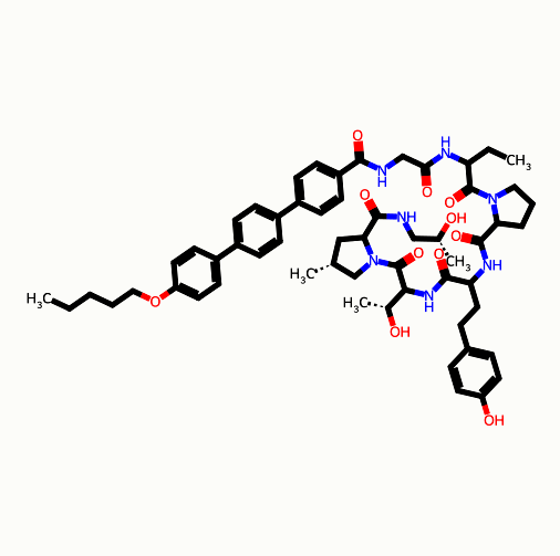 CCCCCOc1ccc(-c2ccc(-c3ccc(C(=O)NCC(=O)NC(CC)C(=O)N4CCCC4C(=O)NC(CCc4ccc(O)cc4)C(=O)NC(C(=O)N4C[C@H](C)CC4C(=O)NC[C@@H](C)O)[C@@H](C)O)cc3)cc2)cc1